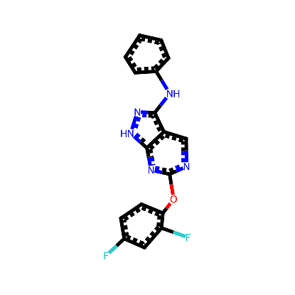 Fc1ccc(Oc2ncc3c(Nc4ccccc4)n[nH]c3n2)c(F)c1